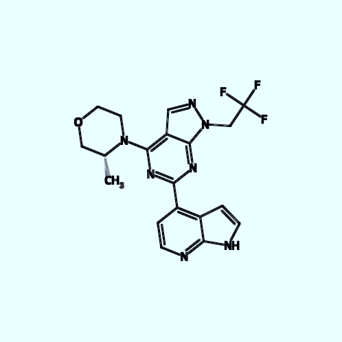 C[C@@H]1COCCN1c1nc(-c2ccnc3[nH]ccc23)nc2c1cnn2CC(F)(F)F